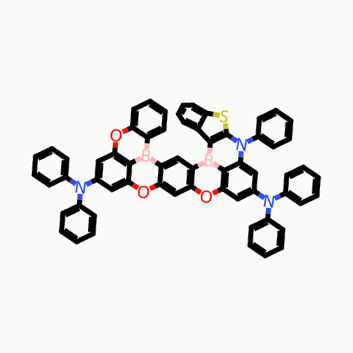 c1ccc(N(c2ccccc2)c2cc3c4c(c2)Oc2cc5c(cc2B4c2ccccc2O3)B2c3c(cc(N(c4ccccc4)c4ccccc4)cc3N(c3ccccc3)c3sc4ccccc4c32)O5)cc1